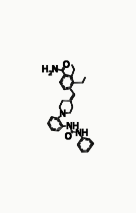 CCc1c(C=C2CCN(c3ccccc3NC(=O)Nc3ccccc3)CC2)ccc(C(N)=O)c1CC